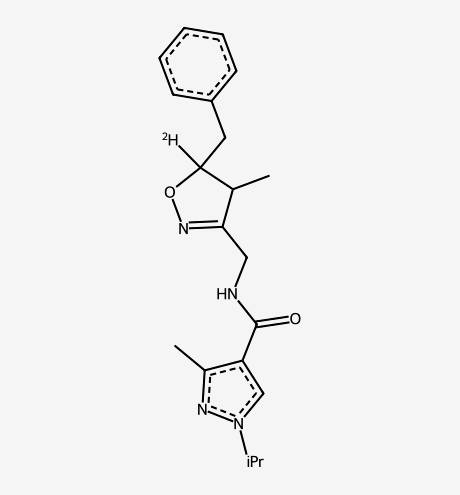 [2H]C1(Cc2ccccc2)ON=C(CNC(=O)c2cn(C(C)C)nc2C)C1C